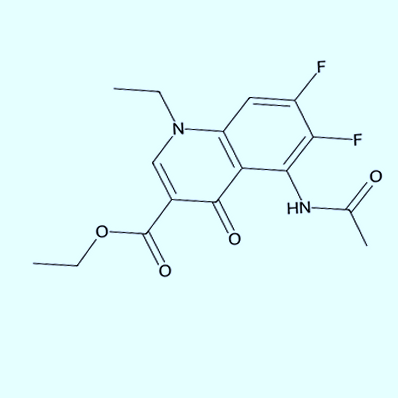 CCOC(=O)c1cn(CC)c2cc(F)c(F)c(NC(C)=O)c2c1=O